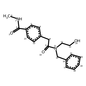 CNC(=O)c1ccc(CC(=O)N(CCO)Cc2ccccc2)cc1